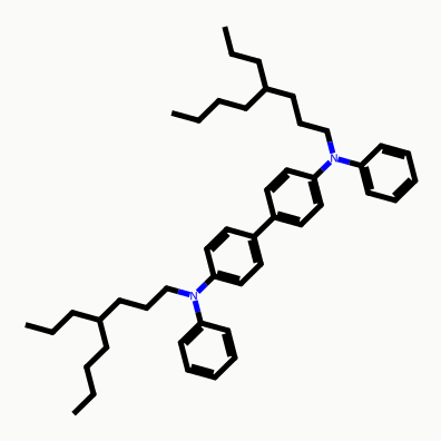 CCCCC(CCC)CCCN(c1ccccc1)c1ccc(-c2ccc(N(CCCC(CCC)CCCC)c3ccccc3)cc2)cc1